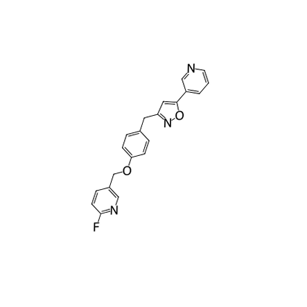 Fc1ccc(COc2ccc(Cc3cc(-c4cccnc4)on3)cc2)cn1